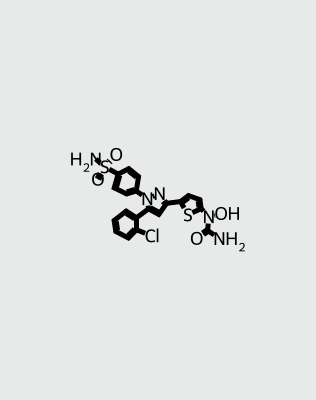 NC(=O)N(O)c1ccc(-c2cc(-c3ccccc3Cl)n(-c3ccc(S(N)(=O)=O)cc3)n2)s1